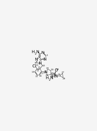 Nc1ncnc2c1ncn2Cc1c(Cl)cccc1N1CCC(N)(C(=O)NC2CC2)C1